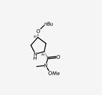 CCCCO[C@H]1CN[C@@H](C(=O)N(C)OC)C1